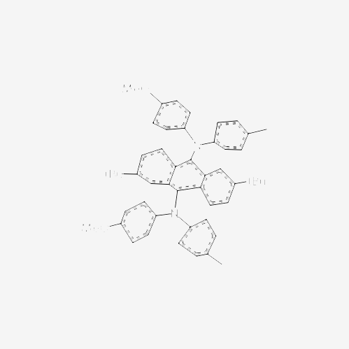 COc1ccc(N(c2ccc(C)cc2)c2c3ccc(C(C)(C)C)cc3c(N(c3ccc(C)cc3)c3ccc(OC)cc3)c3ccc(C(C)(C)C)cc23)cc1